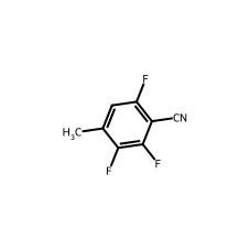 Cc1cc(F)c(C#N)c(F)c1F